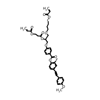 C=CC(=O)OCCCCOCC(COc1ccc(C(=O)Oc2ccc(C#Cc3ccc(OC)cc3)cc2F)cc1)OC(=O)CCOC(=O)C=C